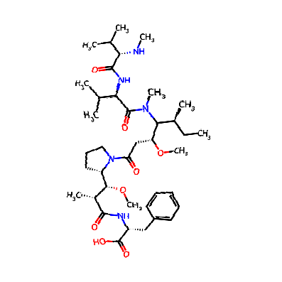 CC[C@H](C)C([C@@H](CC(=O)N1CCC[C@H]1[C@H](OC)[C@@H](C)C(=O)N[C@H](Cc1ccccc1)C(=O)O)OC)N(C)C(=O)[C@H](NC(=O)[C@@H](NC)C(C)C)C(C)C